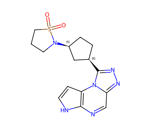 O=S1(=O)CCCN1[C@H]1CC[C@@H](c2nnc3cnc4[nH]ccc4n23)C1